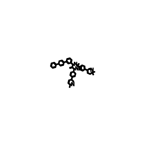 C=C1C(c2cccc(C3=CCC(c4ccccc4)C=C3)c2)=NC(C)(c2ccc(C3=CCC(C)(C)N=C3)cc2)NC1C1C=CC(C2C=CC(C)=NC2)=CC1